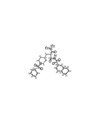 CCN(CC)C(=O)C(CC1CCN(S(=O)(=O)c2ccccc2)CC1)C(=O)NS(=O)(=O)c1ccc2ccccc2c1